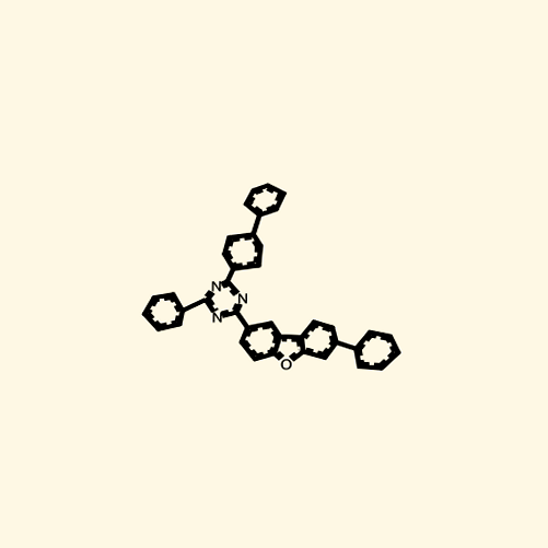 c1ccc(-c2ccc(-c3nc(-c4ccccc4)nc(-c4ccc5oc6cc(-c7ccccc7)ccc6c5c4)n3)cc2)cc1